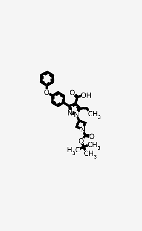 CCc1c(C(=O)O)c(-c2ccc(Oc3ccccc3)cc2)nn1C1CN(C(=O)OC(C)(C)C)C1